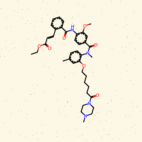 CCOC(=O)/C=C/c1ccccc1C(=O)Nc1ccc(C(=O)N(C)c2ccc(C)cc2OCCCCCC(=O)N2CCN(C)CC2)cc1OC